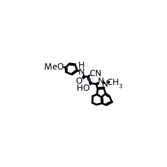 COc1ccc(NC(=O)/C(C#N)=C(\O)c2nn(C)c3c2C2CCCc4cccc-3c42)cc1